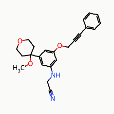 COC1(c2cc(NCC#N)cc(OCC#Cc3ccccc3)c2)CCOCC1